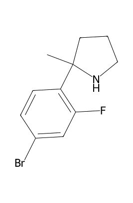 CC1(c2ccc(Br)cc2F)CCCN1